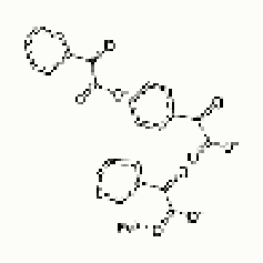 O=C([O-])C(=O)c1ccccc1.O=C([O-])C(=O)c1ccccc1.O=C([O-])C(=O)c1ccccc1.[Fe+3]